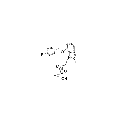 COCCn1c(C)c(C)c2ccnc(OCc3ccc(F)cc3)c21.O=P(O)(O)O